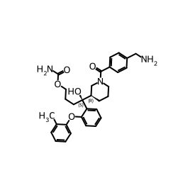 Cc1ccccc1Oc1ccccc1[C@](O)(CCCOC(N)=O)[C@@H]1CCCN(C(=O)c2ccc(CN)cc2)C1